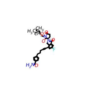 C[Si](C)(C)CCOCN1C(=O)CCC(N2Cc3c(C#CCCCc4ccc(C(N)=O)cc4)cc(F)cc3C2=O)C1=O